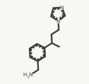 CC(CCn1ccnc1)c1cccc(CN)c1